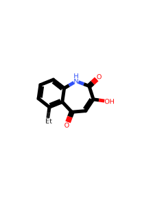 CCc1cccc2[nH]c(=O)c(O)cc(=O)c12